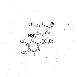 CCOC(=O)c1cnc(Cl)c(Cl)c1Nc1ccc(Br)cc1Cl